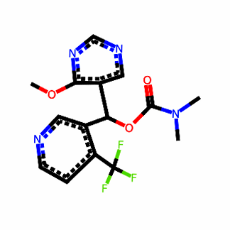 COc1ncncc1C(OC(=O)N(C)C)c1cnccc1C(F)(F)F